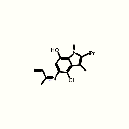 C=C/C(C)=N\c1cc(O)c2c(c(C)c(C(C)C)n2C)c1O